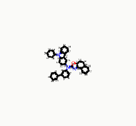 c1ccc(-c2cccc(N(c3ccc4c(c3)c3ccccc3n4-c3ccccc3)c3nc4c(ccc5ccccc54)o3)c2)cc1